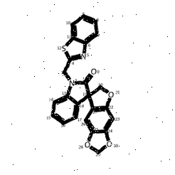 O=C1N(Cc2nc3ccccc3s2)c2ccccc2C12COc1cc3c(cc12)OCO3